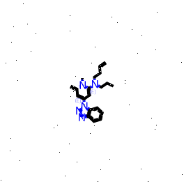 C=C/C=C(\C=C(/N(C)C)N(CCC)CCC=C)n1nnc2ccccc21